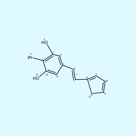 CC(C)c1c(O)cc(/C=C/c2cccs2)cc1O